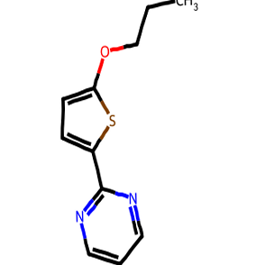 CCCOc1ccc(-c2ncccn2)s1